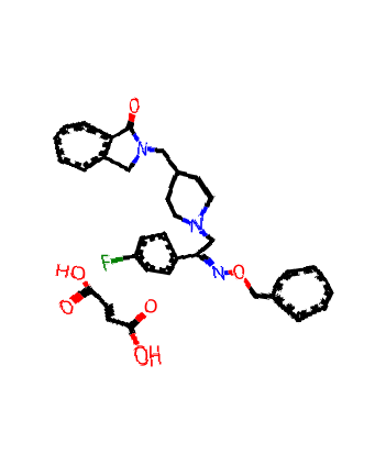 O=C(O)/C=C/C(=O)O.O=C1c2ccccc2CN1CC1CCN(C/C(=N\OCc2ccccc2)c2ccc(F)cc2)CC1